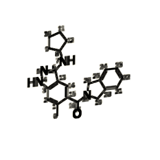 Cc1cc2[nH]nc(NC3CCCC3)c2cc1C(=O)N1Cc2ccccc2C1